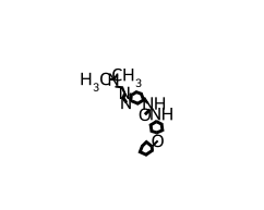 CN(C)CCn1cnc2cc(NC(=O)Nc3ccc(Oc4ccccc4)cc3)ccc21